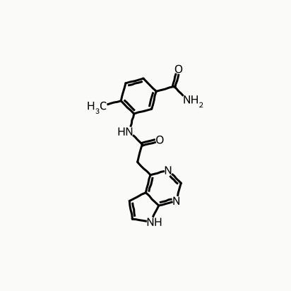 Cc1ccc(C(N)=O)cc1NC(=O)Cc1ncnc2[nH]ccc12